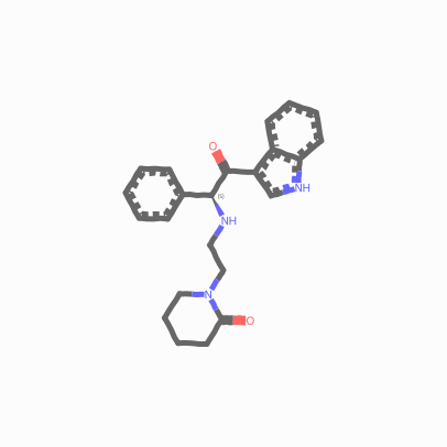 O=C(c1c[nH]c2ccccc12)[C@@H](NCCN1CCCCC1=O)c1ccccc1